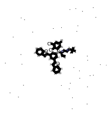 C=C/C(=C\C=C\C(C)(C)C)N(C1=CC(c2cc3c(o2)C=CCC3)CC(c2cc3ccccc3o2)=C1)c1cc(C)cc(Cl)c1Cl